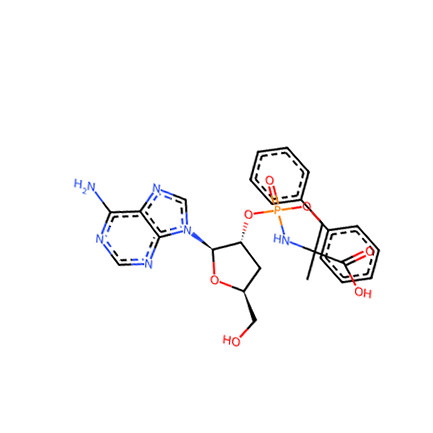 CC(Cc1ccccc1)(NP(=O)(Oc1ccccc1)O[C@@H]1C[C@@H](CO)O[C@H]1n1cnc2c(N)ncnc21)C(=O)O